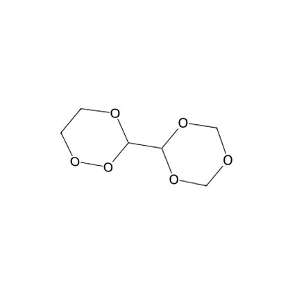 C1COC(C2OCOCO2)OO1